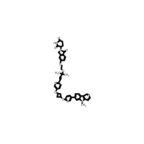 Cn1c2ccncc2c2ccc(-c3ccc(OC4CC(Oc5ccc(C#CC(C)(C)OCCOc6ccc7c(c6)CN(C6CCC(=O)NC6=O)C7=O)nc5)C4)nc3)cc21